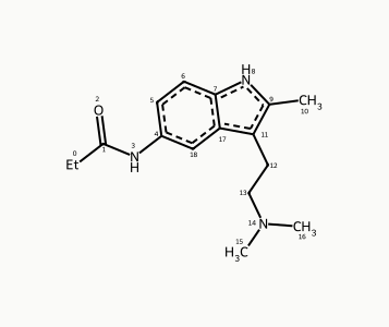 CCC(=O)Nc1ccc2[nH]c(C)c(CCN(C)C)c2c1